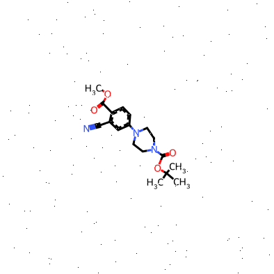 COC(=O)c1ccc(N2CCN(C(=O)OC(C)(C)C)CC2)cc1C#N